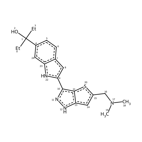 CCC(O)(CC)c1ccc2cc(-c3n[nH]c4cc(CN(C)C)sc34)[nH]c2c1